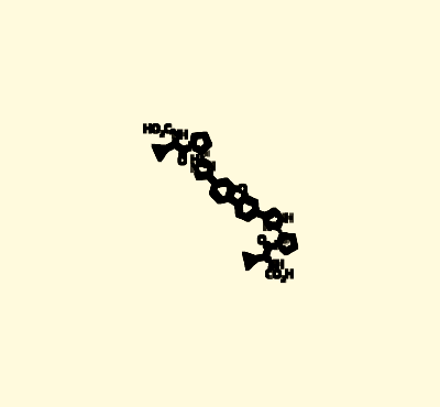 O=C(O)NC(C(=O)N1CCC[C@H]1c1nc(-c2ccc3c(c2)oc2cc(-c4c[nH]c([C@@H]5CCCN5C(=O)C(NC(=O)O)C5CC5)n4)ccc23)c[nH]1)C1CC1